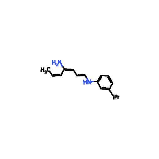 C\C=C/C(N)=C\C=C\Nc1cccc(C(C)C)c1